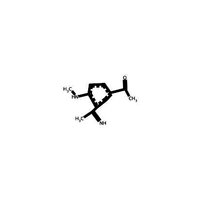 CNc1ccc(C(C)=O)cc1C(C)=N